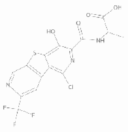 CC(NC(=O)c1nc(Cl)c2c(sc3cnc(C(F)(F)F)cc32)c1O)C(=O)O